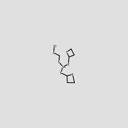 CCSC[S][Sn]([S]C1CCS1)[S]C1CCS1